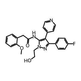 COc1ccccc1CC(=O)Nc1c(-c2ccncc2)c(-c2ccc(F)cc2)nn1CCO